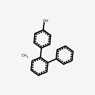 C.Oc1ccc(-c2ccccc2-c2ccccc2)cc1